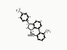 COc1cccc(C)c1-c1cccc2c1P(C(C)(C)C)CN2c1ccc(C(F)(F)F)cc1